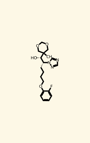 CC1([C@@H](O)[C@@H](CCCCOc2ccccc2F)n2cncn2)COCOC1